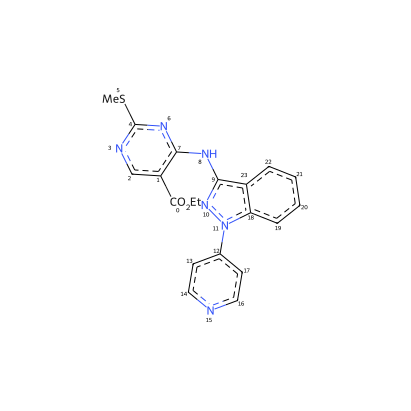 CCOC(=O)c1cnc(SC)nc1Nc1nn(-c2ccncc2)c2ccccc12